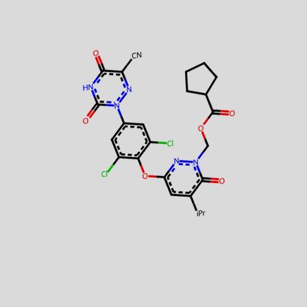 CC(C)c1cc(Oc2c(Cl)cc(-n3nc(C#N)c(=O)[nH]c3=O)cc2Cl)nn(COC(=O)C2CCCC2)c1=O